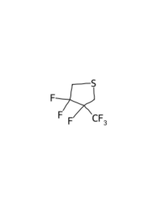 FC(F)(F)C1(F)CSCC1(F)F